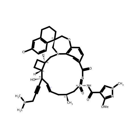 COc1nn(C)cc1C(=O)N[S@@]1(=O)=NC(=O)c2ccc3c(c2)N(C[C@@H]2CC[C@H]2[C@](O)(C#CCN(C)C)/C=C/C[C@H](C)C1)C[C@@]1(CCCc2cc(Cl)ccc21)CO3